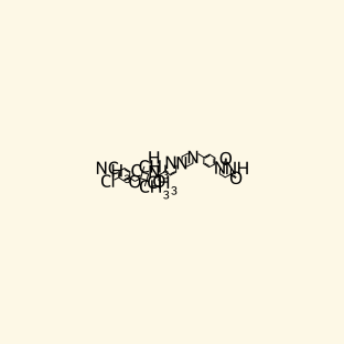 CC1(C)C(NC(=O)c2ccc(N3CCN(Cc4ccc(N5CCC(=O)NC5=O)cc4)CC3)nc2)C(C)(C)C1Oc1ccc(C#N)c(Cl)c1